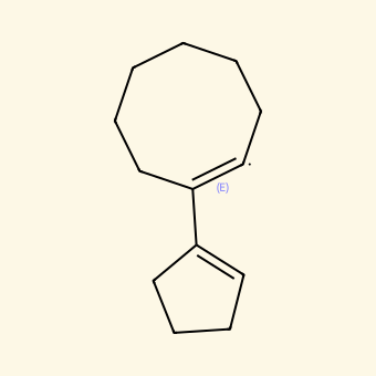 [C]1=C(/C2=CCCC2)CCCCCC/1